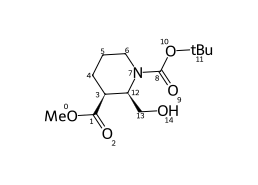 COC(=O)[C@H]1CCCN(C(=O)OC(C)(C)C)[C@H]1CO